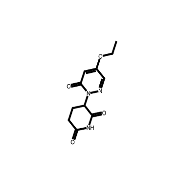 CCOc1cnn(C2CCC(=O)NC2=O)c(=O)c1